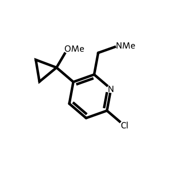 CNCc1nc(Cl)ccc1C1(OC)CC1